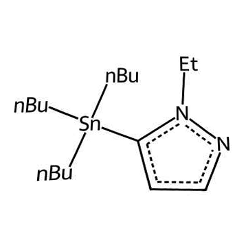 CCC[CH2][Sn]([CH2]CCC)([CH2]CCC)[c]1ccnn1CC